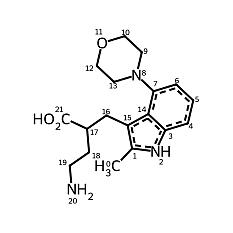 Cc1[nH]c2cccc(N3CCOCC3)c2c1CC(CCN)C(=O)O